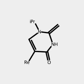 C=C1NC(=O)[C]([Re])=CN1C(C)C